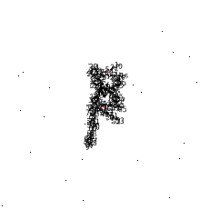 CCCCCCCCC1(CCCCCCCC)c2cc(C)ccc2-c2ccc(-c3cc(-c4ccc5c(c4)C(CCCCCCCC)(CCCCCCCC)c4cc(-c6ccc(/C=C/c7ccc(C)cc7)cc6)ccc4-5)nc(-c4cc(-c5ccccc5)cc(-c5ccccc5)c4)n3)cc21